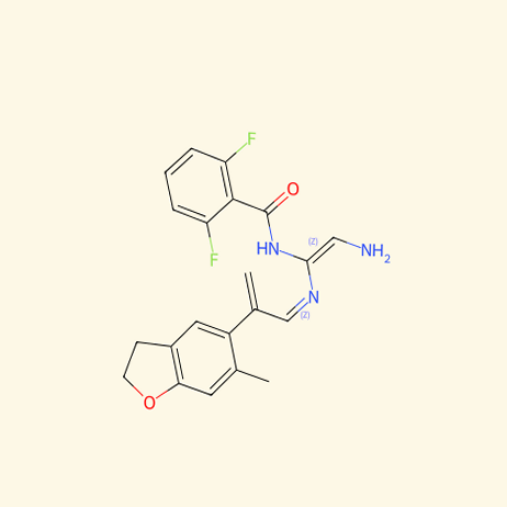 C=C(/C=N\C(=C/N)NC(=O)c1c(F)cccc1F)c1cc2c(cc1C)OCC2